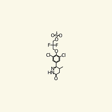 CC1CC(=O)NN=C1c1cc(Cl)c(OCC(F)(F)COS(C)(=O)=O)c(Cl)c1